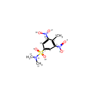 Cc1c([N+](=O)[O-])cc(S(=O)(=O)N(C)C)cc1[N+](=O)[O-]